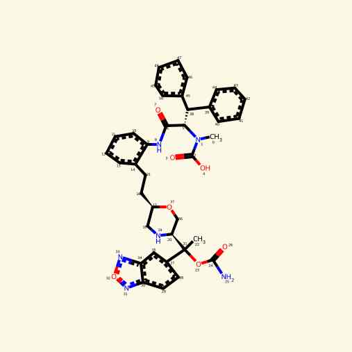 CN(C(=O)O)[C@H](C(=O)Nc1ccccc1CC[C@@H]1CN[C@H](C(C)(OC(N)=O)c2ccc3nonc3c2)CO1)C(c1ccccc1)c1ccccc1